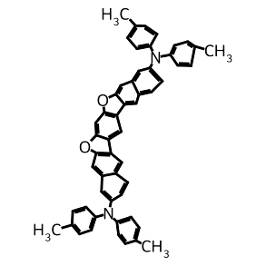 Cc1ccc(N(c2ccc(C)cc2)c2ccc3cc4c(cc3c2)oc2cc3oc5cc6cc(N(c7ccc(C)cc7)c7ccc(C)cc7)ccc6cc5c3cc24)cc1